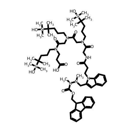 CN(Cc1cc2ccccc2n1CCC(=O)NCC(=O)N(CCCC(C)(C)[Si](C)(C)O)CC(=O)N(CCCC(C)(C)[Si](C)(C)O)CC(=O)N(CCCC(C)(C)[Si](C)(C)O)CCC(=O)O)N(C)C(=O)OCC1c2ccccc2-c2ccccc21